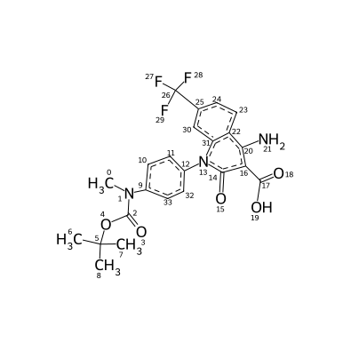 CN(C(=O)OC(C)(C)C)c1ccc(-n2c(=O)c(C(=O)O)c(N)c3ccc(C(F)(F)F)cc32)cc1